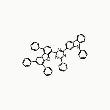 c1ccc(-c2cc(-c3ccccc3)c3oc4c(-c5nc(-c6ccccc6)nc(-c6ccc7c8ccccc8n(-c8ccccc8)c7c6)n5)ccc(-c5ccccc5)c4c3c2)cc1